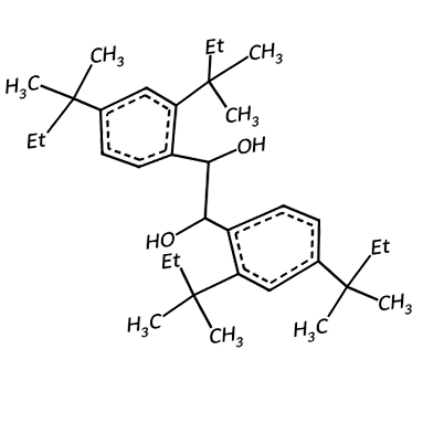 CCC(C)(C)c1ccc(C(O)C(O)c2ccc(C(C)(C)CC)cc2C(C)(C)CC)c(C(C)(C)CC)c1